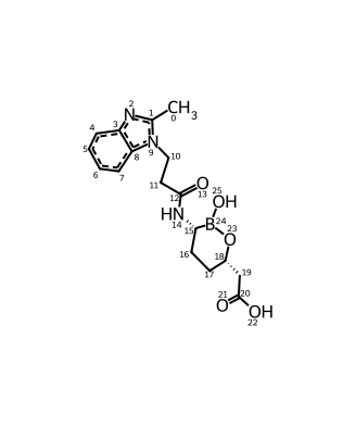 Cc1nc2ccccc2n1CCC(=O)N[C@H]1CC[C@@H](CC(=O)O)OB1O